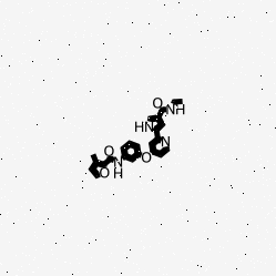 CCNC(=O)c1c[nH]c(-c2cc(Oc3cccc(NC(=O)c4occc4C)c3)ccn2)c1